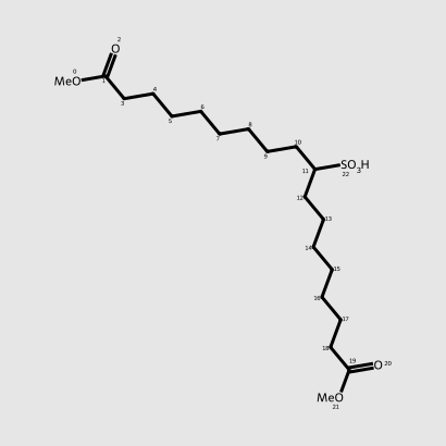 COC(=O)CCCCCCCCC(CCCCCCCC(=O)OC)S(=O)(=O)O